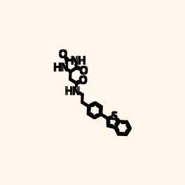 O=C(CC1NC(=O)NC1=O)NCCc1ccc(-c2cc3ccccc3s2)cc1